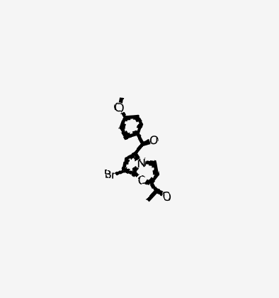 COc1ccc(C(=O)c2cc(Br)c3cc(C(C)=O)ccn23)cc1